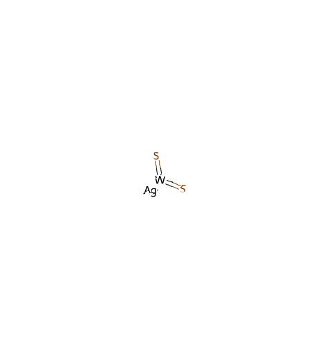 [Ag].[S]=[W]=[S]